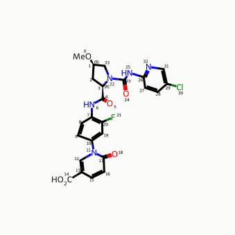 CO[C@@H]1C[C@H](C(=O)Nc2ccc(-n3cc(C(=O)O)ccc3=O)cc2F)N(C(=O)Nc2ccc(Cl)cn2)C1